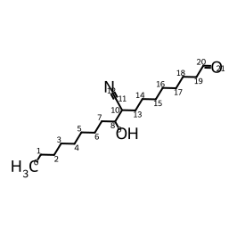 CCCCCCCCC(O)C(C#N)CCCCCCCC=O